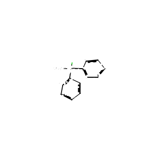 CN[Si](Cl)(c1ccccc1)c1ccccc1